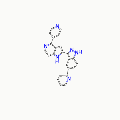 c1ccc(-c2ccc3[nH]nc(-c4cc5c(-c6ccncc6)nccc5[nH]4)c3c2)nc1